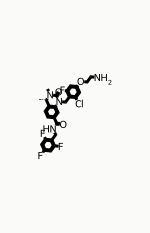 C[C@H]1c2ccc(C(=O)NCc3c(F)cc(F)cc3F)cc2N(Cc2c(F)cc(OCCN)cc2Cl)C(=O)N1C